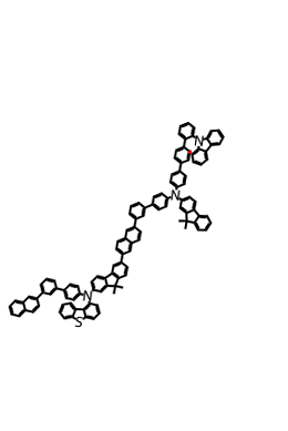 CC1(C)c2ccccc2-c2ccc(N(c3ccc(-c4ccc(-c5ccccc5-n5c6ccccc6c6ccccc65)cc4)cc3)c3ccc(-c4cccc(-c5ccc6cc(-c7ccc8c(c7)-c7ccc(N(c9ccc(-c%10cccc(-c%11ccc%12ccccc%12c%11)c%10)cc9)c9cccc%10sc%11ccccc%11c9%10)cc7C8(C)C)ccc6c5)c4)cc3)cc21